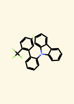 Fc1ccc(C(F)(F)F)c(-c2ccccc2-n2c3ccccc3c3ccccc32)c1